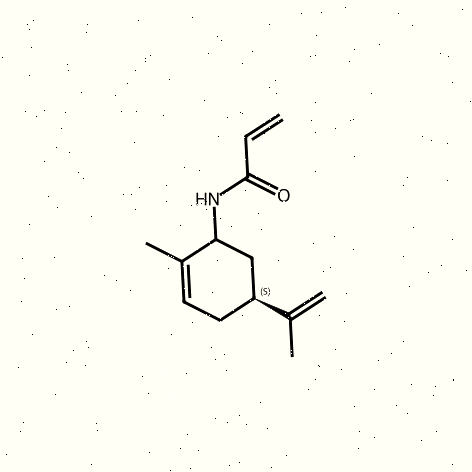 C=CC(=O)NC1C[C@@H](C(=C)C)CC=C1C